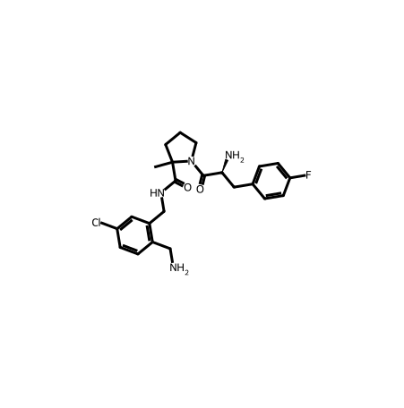 CC1(C(=O)NCc2cc(Cl)ccc2CN)CCCN1C(=O)[C@@H](N)Cc1ccc(F)cc1